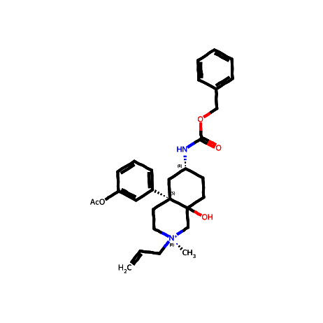 C=CC[N@@+]1(C)CC[C@@]2(c3cccc(OC(C)=O)c3)C[C@H](NC(=O)OCc3ccccc3)CCC2(O)C1